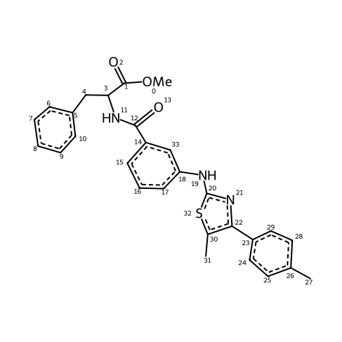 COC(=O)C(Cc1ccccc1)NC(=O)c1cccc(Nc2nc(-c3ccc(C)cc3)c(C)s2)c1